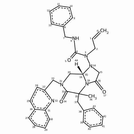 C=CCN(C(=O)NCc1ccccc1)N1CC(=O)N2[C@@H]1CN(Cc1ccc3ccccc3n1)C(=O)C2(C)Cc1ccccc1